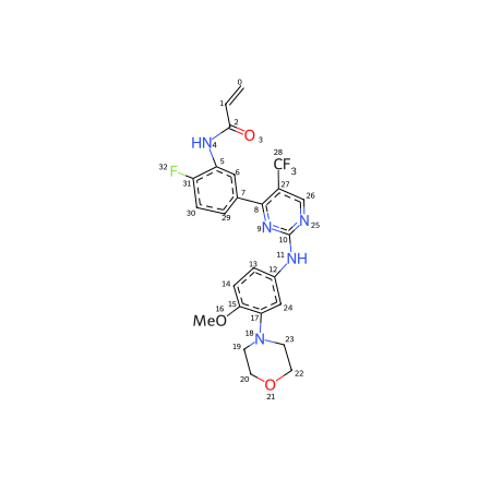 C=CC(=O)Nc1cc(-c2nc(Nc3ccc(OC)c(N4CCOCC4)c3)ncc2C(F)(F)F)ccc1F